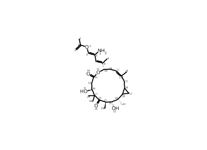 C=C(C)O/C=C(N)/C=C(\C)[C@@H]1C/C=C(/C)CC2CC2[C@H](C)[C@H](O)[C@@H](C)C(=O)C(C)(C)[C@@H](O)CC(=O)O1